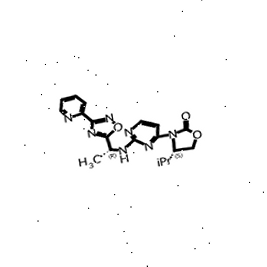 CC(C)[C@H]1COC(=O)N1c1ccnc(N[C@H](C)c2nc(-c3ccccn3)no2)n1